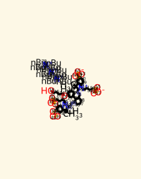 CC1(C)C(/C=C/C2=C(c3cccc(OCCCCO)c3)C(=C/C=C3\N(CCCCS(=O)(=O)[O-])c4ccc(S(=O)(=O)[O-])cc4C3(C)C)/CCC2)=[N+](CCCCS(=O)(=O)[O-])c2ccc(S(=O)(=O)[O-])cc21.CCCC[N+](CCCC)(CCCC)CCCC.CCCC[N+](CCCC)(CCCC)CCCC.CCCC[N+](CCCC)(CCCC)CCCC